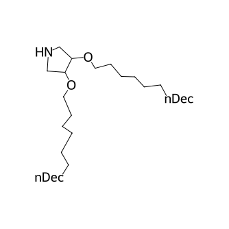 CCCCCCCCCCCCCCCCOC1CNCC1OCCCCCCCCCCCCCCCC